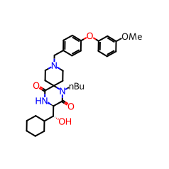 CCCCN1C(=O)[C@@H]([C@H](O)C2CCCCC2)NC(=O)C12CCN(Cc1ccc(Oc3cccc(OC)c3)cc1)CC2